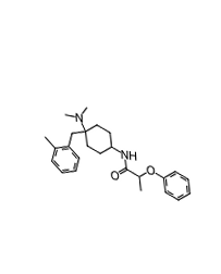 Cc1ccccc1CC1(N(C)C)CCC(NC(=O)C(C)Oc2ccccc2)CC1